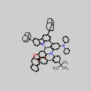 CC(C)(C)c1ccc(N2c3cc4c(cc3B3c5c(cc(N(c6ccccc6)c6ccccc6)cc52)-c2cc(C56CC7CC(CC(C7)C5)C6)cc5c6cc(C78CC9CC(CC(C9)C7)C8)ccc6n3c25)oc2cc3ccccc3cc24)c(-c2ccccc2)c1